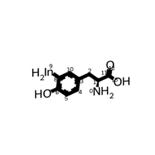 N[C@@H](Cc1ccc(O)[c]([InH2])c1)C(=O)O